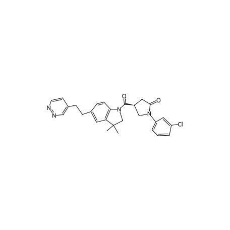 CC1(C)CN(C(=O)[C@H]2CC(=O)N(c3cccc(Cl)c3)C2)c2ccc(CCc3ccnnc3)cc21